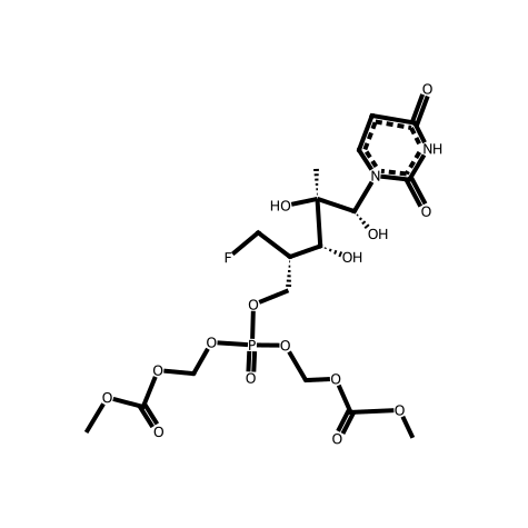 COC(=O)OCOP(=O)(OCOC(=O)OC)OC[C@H](CF)[C@@H](O)[C@@](C)(O)[C@@H](O)n1ccc(=O)[nH]c1=O